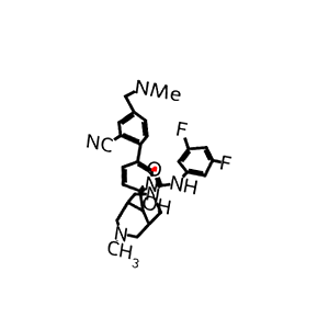 CNCc1ccc(-c2ccc(C3(O)C4CN(C)CC3CN(C(=O)Nc3cc(F)cc(F)c3)C4)nc2)c(C#N)c1